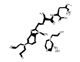 CC(C)CC(NC(=O)C(N)CCc1nc2cc(N(CCCl)CCCl)ccc2n1C)C(=O)O.Cl.Cl.OCCN1CCOCC1